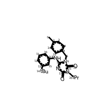 Cc1ccc(Cn2c(Nc3cccc(C(C)(C)C)c3)nc(=O)n(C(C)C)c2=O)cc1